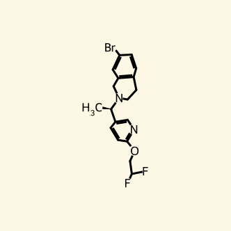 C[C@H](c1ccc(OCC(F)F)nc1)N1CCc2ccc(Br)cc2C1